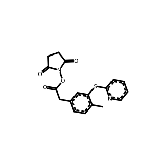 Cc1ccc(CC(=O)ON2C(=O)CCC2=O)cc1Sc1ccccn1